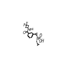 O=C(NC1CC(F)(F)C1)c1cccc(C2CC2N(CC2CC2)C(=O)O)c1